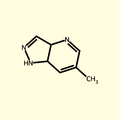 CC1=CC2NN=CC2N=C1